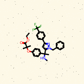 CCOC(=O)C(C)(C)Oc1ccc(C(C)(NC)c2cc(-c3ccc(C(F)(F)F)cc3)nn2Cc2ccccc2)cc1